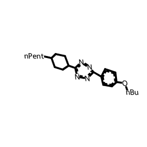 CCCCCC1CCC(c2nnc(-c3ccc(OCCCC)cc3)nn2)CC1